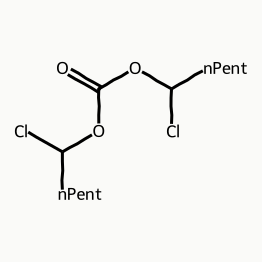 CCCCCC(Cl)OC(=O)OC(Cl)CCCCC